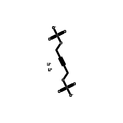 O=S(=O)([O-])OCC#CCOS(=O)(=O)[O-].[Li+].[Li+]